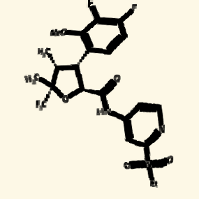 CCS(=O)(=O)c1cc(NC(=O)[C@H]2O[C@](C)(C(F)(F)F)[C@H](C)[C@@H]2c2ccc(F)c(F)c2OC)ccn1